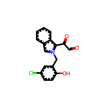 O=CC(=O)c1c2ccccc2cn1Cc1cc(Cl)ccc1O